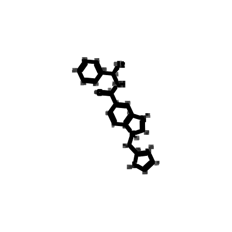 CC[C@@H](NC(=O)c1ccc2c(c1)ncn2Cc1nccs1)c1ccccc1